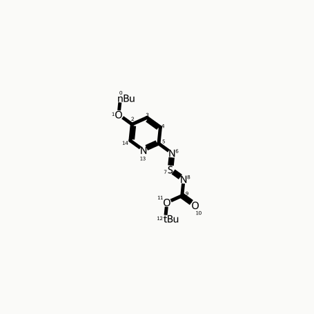 CCCCOc1ccc(N=S=NC(=O)OC(C)(C)C)nc1